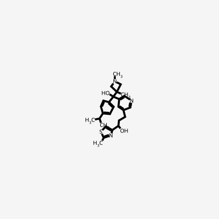 Cc1nc(C(O)CCc2cncc(C(O)(c3ccc(C(C)C)cc3)C3(C)CN(C)C3)c2)cs1